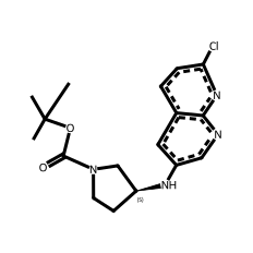 CC(C)(C)OC(=O)N1CC[C@H](Nc2cnc3nc(Cl)ccc3c2)C1